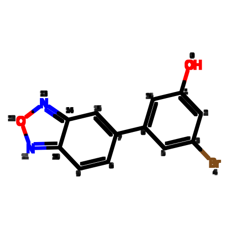 Oc1cc(Br)cc(-c2ccc3nonc3c2)c1